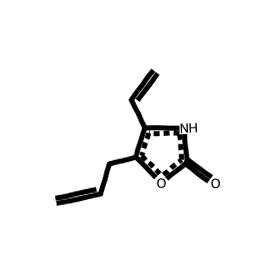 C=CCc1oc(=O)[nH]c1C=C